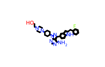 Nc1ncnc2c1c(-c1ccc3[nH]c(Cc4ccccc4F)cc3c1)nn2C1CCC(N2CCN(CCO)CC2)CC1